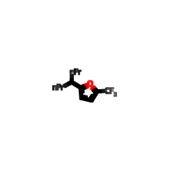 CCCC(CCC)c1ccc(C(F)(F)F)o1